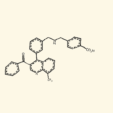 O=C(O)c1ccc(CNCc2cccc(-c3c(C(=O)c4ccccc4)cnc4c(C(F)(F)F)cccc34)c2)cc1